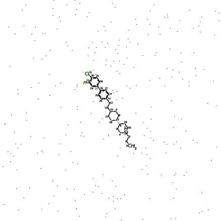 CCC[SiH]1CCC([C@H]2CC[C@H](CCc3ccc(-c4ccc(Cl)c(F)c4)cc3)CC2)CC1